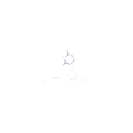 COCCO[C@H]1C(O)[C@@H](CO)O[C@H]1n1cc(C)c(=O)[nH]c1=O